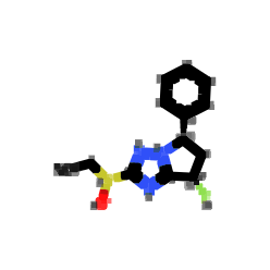 N#CC[S+]([O-])c1nc2n(n1)[C@H](c1ccccc1)C[C@@H]2F